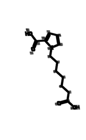 O=C(O)CCCCCCn1cccc1C(=O)O